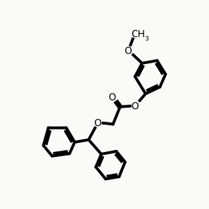 COc1cccc(OC(=O)COC(c2ccccc2)c2ccccc2)c1